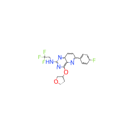 Fc1ccc(-c2ccc3nc(NCC(F)(F)F)nc(OC4CCOC4)c3n2)cc1